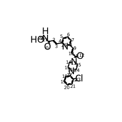 O=C(/C=C/c1cccc(/C=C/C(=O)N2CCN(c3ccccc3Cl)CC2)n1)NO